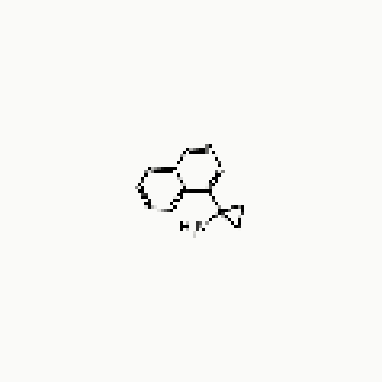 NC1(c2cncc3ccccc23)CC1